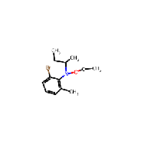 CCON(c1c(C)cccc1Br)C(C)CC